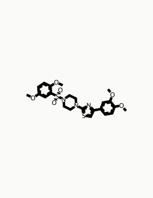 COc1ccc(OC)c(S(=O)(=O)N2CCN(c3nc(-c4ccc(OC)c(OC)c4)cs3)CC2)c1